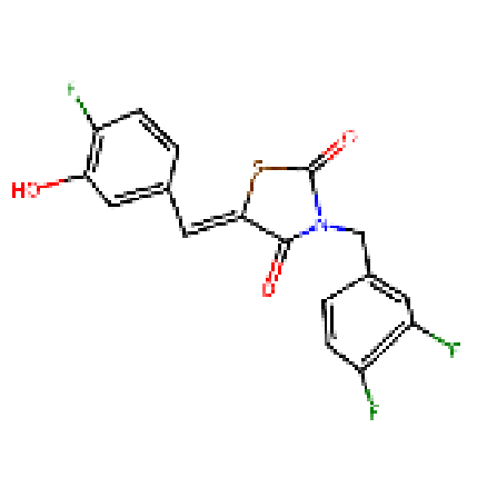 O=C1S/C(=C\c2ccc(F)c(O)c2)C(=O)N1Cc1ccc(F)c(F)c1